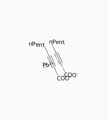 CCCCCC#CC(=O)[O-].CCCCCC#CC(=O)[O-].[Pb+2]